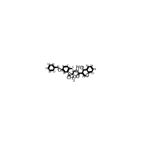 COC(=O)[C@H](Cc1ccc(OCc2ccccc2)cc1)NC(=O)c1coc2ccccc2c1=O